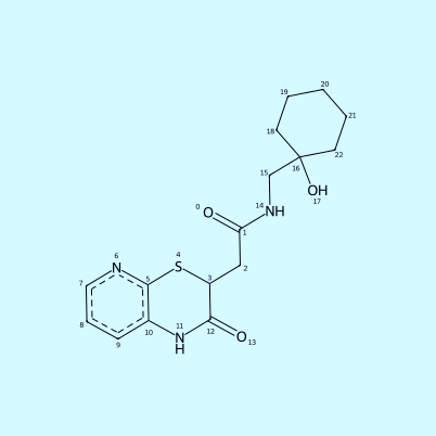 O=C(CC1Sc2ncccc2NC1=O)NCC1(O)CCCCC1